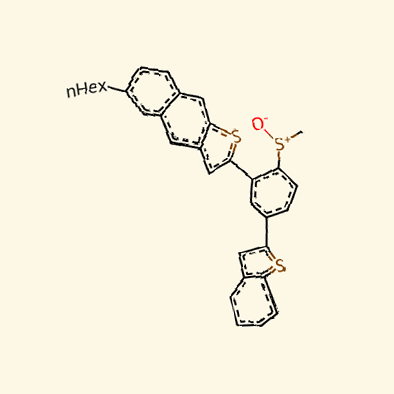 CCCCCCc1ccc2cc3sc(-c4cc(-c5cc6ccccc6s5)ccc4[S+](C)[O-])cc3cc2c1